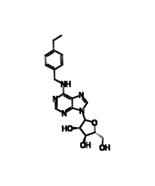 CCc1ccc(CNc2ncnc3c2ncn3C2O[C@H](CO)[C@@H](O)[C@H]2O)cc1